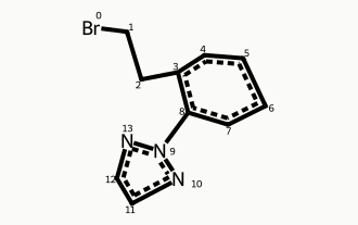 BrCCc1ccccc1-n1nccn1